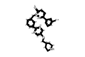 O=c1ccc(-c2cccc(F)c2)nn1Cc1cccc(-c2ncc(OCC3CCNCC3)cn2)c1